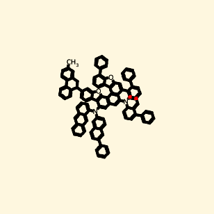 Cc1ccc2c(c1)CC(c1ccc3c(c1)oc1c3c(N(c3ccc4cc(-c5ccccc5)ccc4c3)c3cccc4cc5ccccc5cc34)cc3cc(N4C=CC=C5C(c6ccccc6)=CC=CC54)c4c(-c5ccccc5-c5ccccc5)cc5oc6c(-c7ccccc7)cccc6c5c4c31)c1ccccc1-2